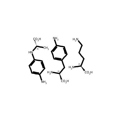 C[C@H](Nc1ccc(N)cc1)C(=O)O.NCCC[C@H](N)C(=O)O.Nc1ccc(C[C@H](N)C(=O)O)cc1